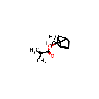 C=C(C)C(=O)OC1CC2CC=C1C2(C)C